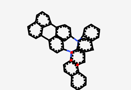 c1ccc(N(c2ccccc2)c2ccc(-c3cccc4cccc(-c5ccc(N(c6ccccc6)c6ccc7ccccc7c6)cc5)c34)cc2)cc1